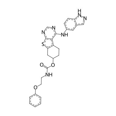 O=C(NCCOc1ccccc1)OC1CCc2c(sc3ncnc(Nc4ccc5[nH]ncc5c4)c23)C1